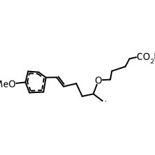 [CH2]C(CCC=Cc1ccc(OC)cc1)OCCCCC(=O)O